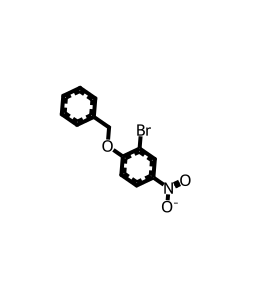 O=[N+]([O-])c1ccc(OCc2ccccc2)c(Br)c1